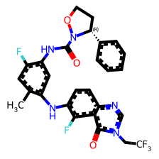 Cc1cc(F)c(NC(=O)N2OCC[C@@H]2c2ccccc2)cc1Nc1ccc2ncn(CC(F)(F)F)c(=O)c2c1F